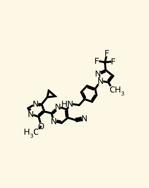 COc1ncnc(C2CC2)c1-c1ncc(C#N)c(NCc2ccc(-n3nc(C(F)(F)F)cc3C)cc2)n1